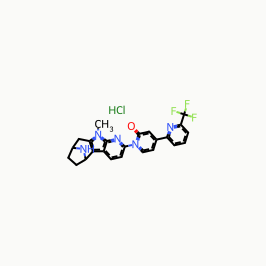 Cl.Cn1c2c(c3ccc(-n4ccc(-c5cccc(C(F)(F)F)n5)cc4=O)nc31)C1CCC(C2)N1